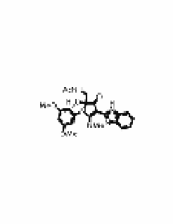 CNC1=C(c2nc3ccccc3[nH]2)C(=O)C(C)(CNC(C)=O)N1c1cc(OC)cc(OC)c1